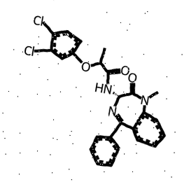 CC(Oc1ccc(Cl)c(Cl)c1)C(=O)N[C@H]1N=C(c2ccccc2)c2ccccc2N(C)C1=O